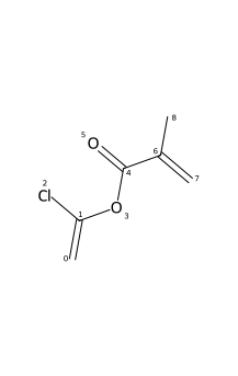 C=C(Cl)OC(=O)C(=C)C